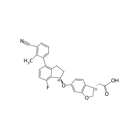 Cc1c(C#N)cccc1-c1ccc(F)c2c1CC[C@H]2Oc1ccc2c(c1)OC[C@H]2CC(=O)O